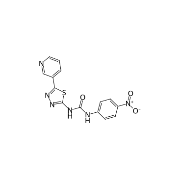 O=C(Nc1ccc([N+](=O)[O-])cc1)Nc1nnc(-c2cccnc2)s1